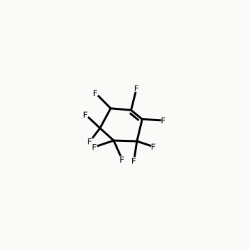 FC1=C(F)C(F)(F)C(F)(F)C(F)(F)C1F